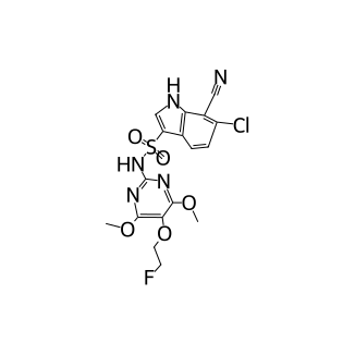 COc1nc(NS(=O)(=O)c2c[nH]c3c(C#N)c(Cl)ccc23)nc(OC)c1OCCF